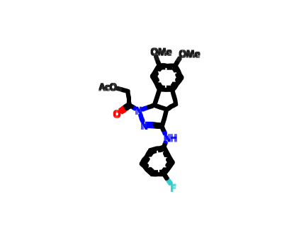 COc1cc2c(cc1OC)C1C(C2)C(Nc2cccc(F)c2)=NN1C(=O)COC(C)=O